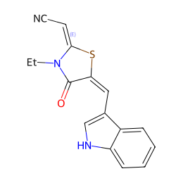 CCn1c(=O)c(=Cc2c[nH]c3ccccc23)s/c1=C/C#N